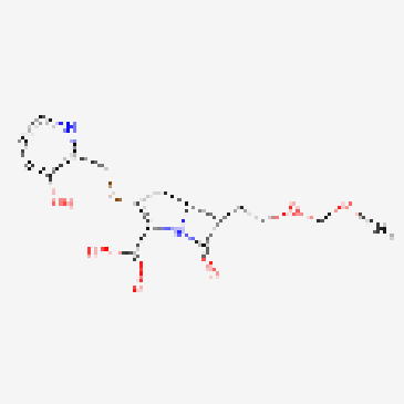 COCOCCC1C(=O)N2C(C(=O)O)=C(SCc3ncccc3O)CC12